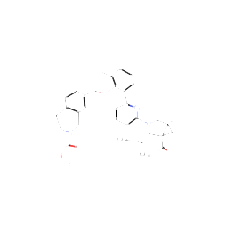 COC[C@H]1N(c2cccc(-c3cccc(C)c3OCc3ccc4c(c3)CN(C(=O)OC(C)(C)C)CC4)n2)C[C@@H]2C[C@@]21C(=O)OC